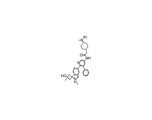 CC(=O)N(C)C1CCC(CC(=O)Nc2cnc(-c3ccc(C4(N)CC(C)(O)C4)c(F)c3)c(-c3ccccc3)c2)CC1